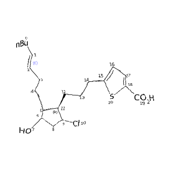 CCCC/C=C/CCC1C(O)CC(Cl)[C@@H]1CCCc1ccc(C(=O)O)s1